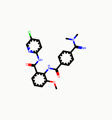 COc1cccc(C(=O)Nc2ccc(Cl)cn2)c1NC(=O)c1ccc(C(=N)N(C)C)cc1